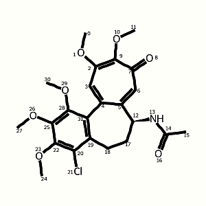 COc1cc2c(cc(=O)c1OC)[C@@H](NC(C)=O)CCc1c(Cl)c(OC)c(OC)c(OC)c1-2